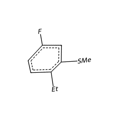 CCc1ccc(F)cc1SC